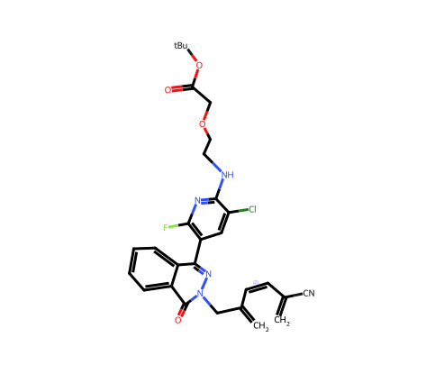 C=C(C#N)/C=C\C(=C)Cn1nc(-c2cc(Cl)c(NCCOCC(=O)OC(C)(C)C)nc2F)c2ccccc2c1=O